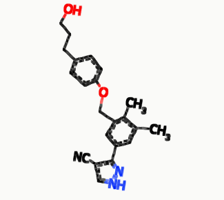 Cc1cc(-c2n[nH]cc2C#N)cc(COc2ccc(CCCO)cc2)c1C